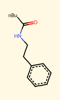 CCCCC(=O)NCCc1ccccc1